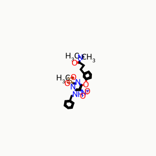 CN(C)C(=O)CCc1cccc(Oc2nc(S(C)(=O)=O)nc(NCc3ccccc3)c2[N+](=O)[O-])c1